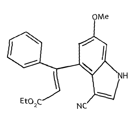 CCOC(=O)C=C(c1ccccc1)c1cc(OC)cc2[nH]cc(C#N)c12